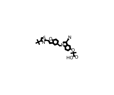 CC(C)(Oc1ccc2c(c1)c(C#N)cn2Cc1ccc2oc(-c3nc(C(C)(C)C)cs3)cc2c1)C(=O)O